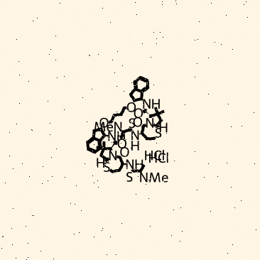 CN[C@@H](C)C(=S)N[C@H]1CCS[C@H]2CC(C)(C)[C@@H](C(=O)N[C@H]3c4ccccc4C[C@H]3OCCCCO[C@@H]3Cc4ccccc4[C@@H]3NC(=O)[C@H]3N4C(=O)[C@@H](NC(=S)[C@H](C)NC)CCS[C@H]4CC3(C)C)N2C1=O.Cl.Cl